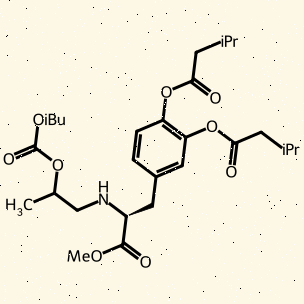 COC(=O)[C@H](Cc1ccc(OC(=O)CC(C)C)c(OC(=O)CC(C)C)c1)NCC(C)OC(=O)OCC(C)C